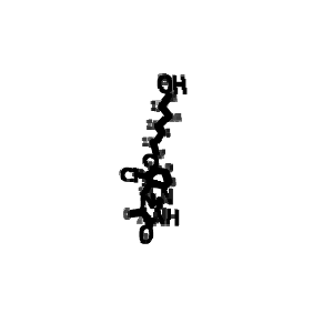 CC1C(=O)NC2=Nc3ccc(OCCCCCCCO)c(Cl)c3CN21